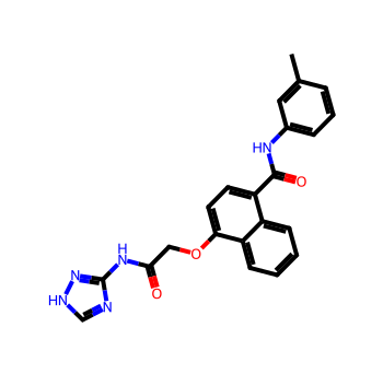 Cc1cccc(NC(=O)c2ccc(OCC(=O)Nc3nc[nH]n3)c3ccccc23)c1